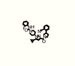 N#Cc1ccccc1C1CCN(C(=O)c2cc(C3CC3)n(C3CCN(C(=O)Nc4ccccc4F)CC3)n2)C1